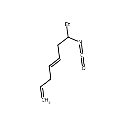 C=CCC=CCC(CC)N=C=O